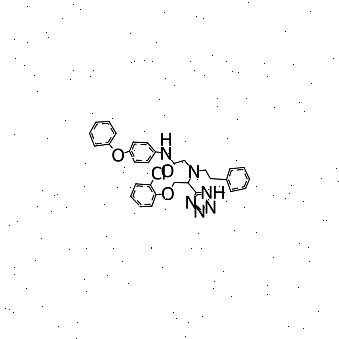 O=C(CN(CCc1ccccc1)C(COc1ccccc1Cl)c1nnn[nH]1)Nc1ccc(Oc2ccccc2)cc1